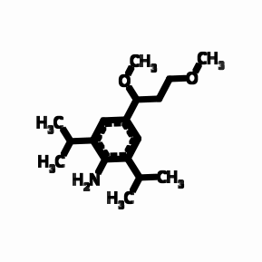 COCCC(OC)c1cc(C(C)C)c(N)c(C(C)C)c1